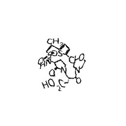 CC(=CS(=O)(=O)N[C@H]1CCN([C@@H](CC(=O)O)C(=O)N2CCOCC2)C1=O)c1ccc(Cl)s1